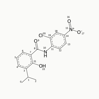 CC(C)c1cccc(C(=O)Nc2ccc([N+](=O)[O-])cc2Cl)c1O